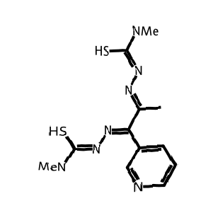 CN/C(S)=N/N=C(C)/C(=N/N=C(\S)NC)c1cccnc1